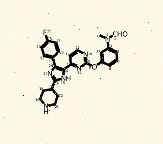 CN(C=O)c1cccc(Oc2nccc(-c3[nH]c(C4CCNCC4)nc3-c3ccc(F)cc3)n2)c1